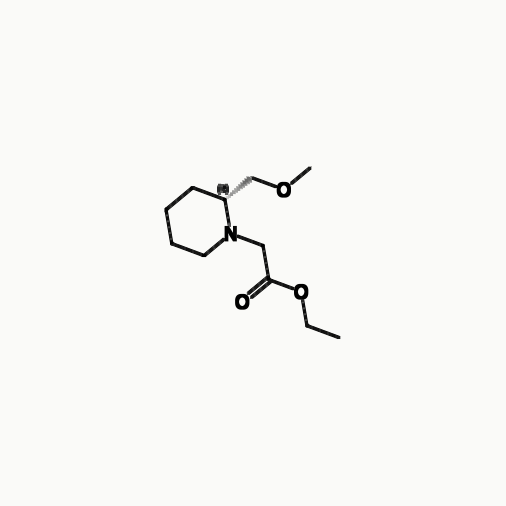 CCOC(=O)CN1CCCC[C@@H]1COC